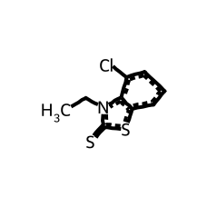 CCn1c(=S)sc2cccc(Cl)c21